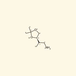 CC(CN)[C@@H]1COC(C)(C)O1